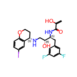 C=C(O)C(=O)N[C@@H](Cc1cc(F)cc(F)c1)[C@H](O)CN[C@H]1CCOc2ccc(I)cc21